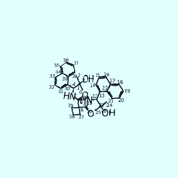 CC(C)(O)[C@@H](NC(=O)C1(C(=O)N[C@@H](c2cccc3ccccc23)C(C)(C)O)CCC1)c1cccc2ccccc12